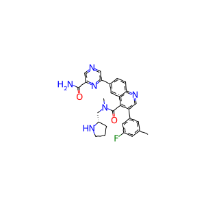 Cc1cc(F)cc(-c2cnc3ccc(-c4cncc(C(N)=O)n4)cc3c2C(=O)N(C)C[C@@H]2CCCN2)c1